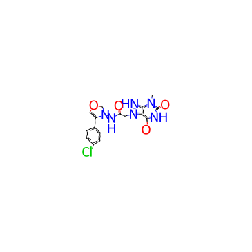 Cn1c(=O)[nH]c(=O)c2c1[nH]n2CC(=O)NN1COC=C1c1ccc(Cl)cc1